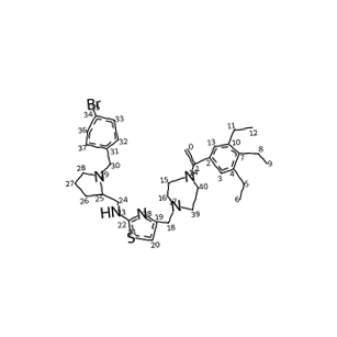 C=C(c1cc(CC)c(CC)c(CC)c1)N1CCN(Cc2csc(NCC3CCCN3Cc3ccc(Br)cc3)n2)CC1